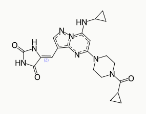 O=C1NC(=O)/C(=C/c2cnn3c(NC4CC4)cc(N4CCN(C(=O)C5CC5)CC4)nc23)N1